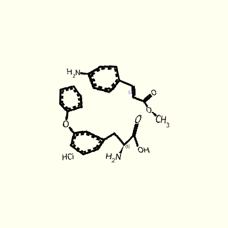 COC(=O)/C=C/c1ccc(N)cc1.Cl.N[C@@H](Cc1cccc(Oc2ccccc2)c1)C(=O)O